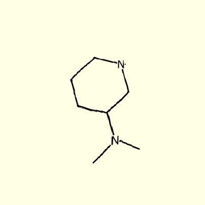 CN(C)C1CCC[N]C1